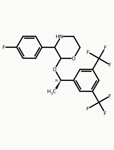 C[C@@H](OC1OCCNC1c1ccc(F)cc1)c1cc(C(F)(F)F)cc(C(F)(F)F)c1